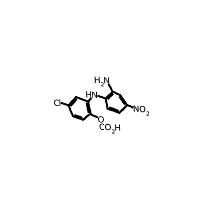 Nc1cc([N+](=O)[O-])ccc1Nc1cc(Cl)ccc1OC(=O)O